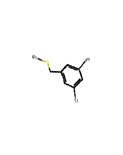 CCc1cc(CSC(C)C)cc(C(C)C)c1